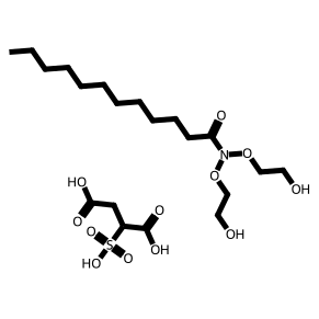 CCCCCCCCCCCC(=O)N(OCCO)OCCO.O=C(O)CC(C(=O)O)S(=O)(=O)O